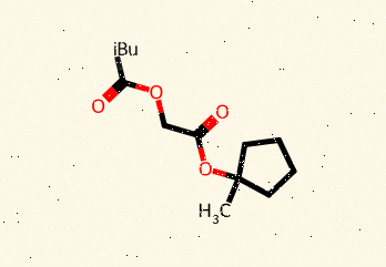 CCC(C)C(=O)OCC(=O)OC1(C)CCCC1